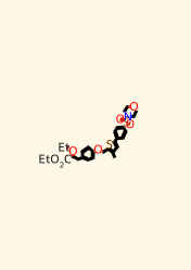 CCOC(=O)C(Cc1ccc(OCc2sc(-c3ccc(S(=O)(=O)N4CCOCC4)cc3)cc2C)cc1)OCC